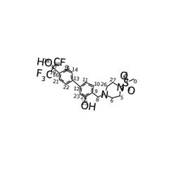 CS(=O)(=O)N1CCN(Cc2ccc(-c3ccc(C(O)(C(F)(F)F)C(F)(F)F)cc3)cc2O)CC1